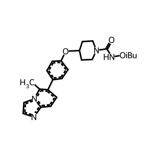 Cc1c(-c2ccc(OC3CCN(C(=O)NOCC(C)C)CC3)cc2)ccc2nccn12